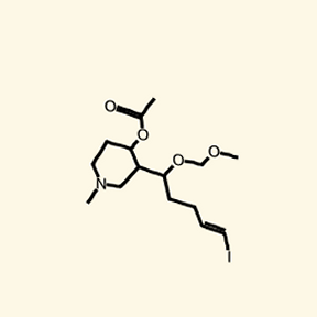 COCOC(CCC=CI)C1CN(C)CCC1OC(C)=O